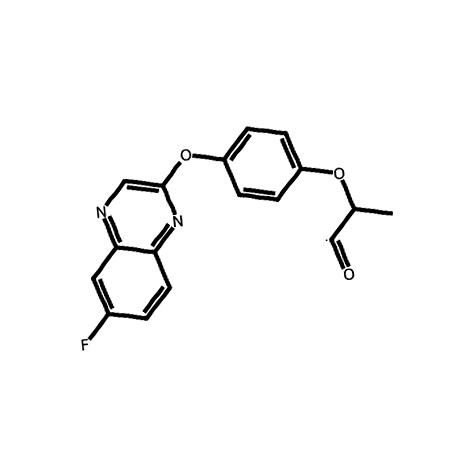 CC([C]=O)Oc1ccc(Oc2cnc3cc(F)ccc3n2)cc1